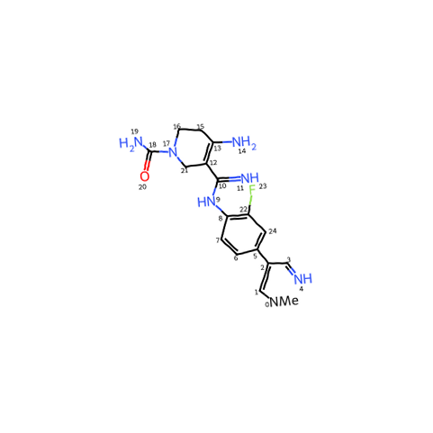 CN/C=C(\C=N)c1ccc(NC(=N)C2=C(N)CCN(C(N)=O)C2)c(F)c1